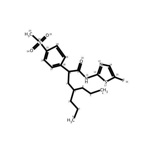 CCCC(CCC)CC(C(=O)Nc1ncc(F)s1)c1ccc(S(C)(=O)=O)cc1